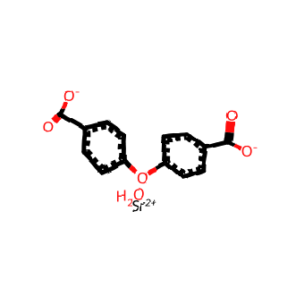 O.O=C([O-])c1ccc(Oc2ccc(C(=O)[O-])cc2)cc1.[Sr+2]